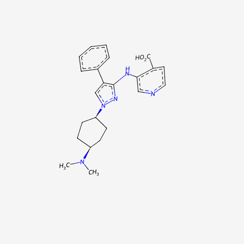 CN(C)[C@H]1CC[C@@H](n2cc(-c3ccccc3)c(Nc3cnccc3C(=O)O)n2)CC1